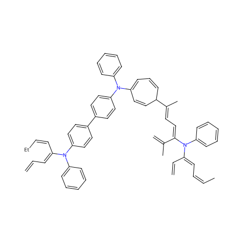 C=C/C=C(\C=C/CC)N(c1ccccc1)c1ccc(-c2ccc(N(C3=CC=CC(/C(C)=C/C=C(\C(=C)C)N(/C(C=C)=C/C=C\C)c4ccccc4)C=C3)c3ccccc3)cc2)cc1